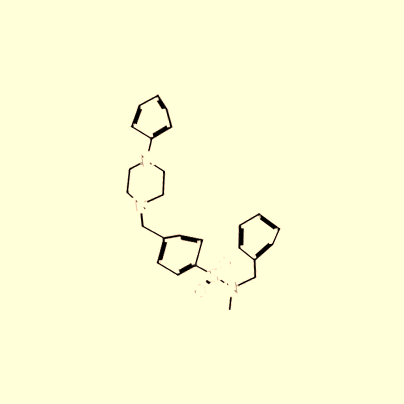 CN(Cc1ccccc1)S(=O)(=O)c1ccc(CN2CCN(c3ccccc3)CC2)cc1